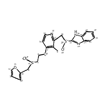 Cc1c(OCC[S+]([O-])Cc2ccco2)ccnc1C[S+]([O-])c1nc2ccccc2[nH]1